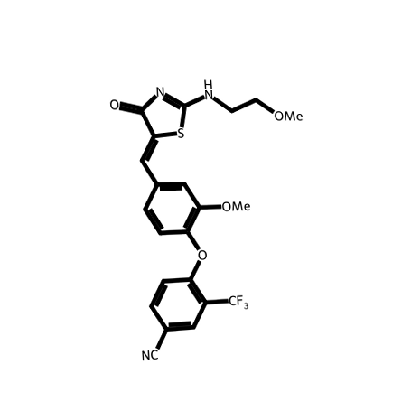 COCCNC1=NC(=O)C(=Cc2ccc(Oc3ccc(C#N)cc3C(F)(F)F)c(OC)c2)S1